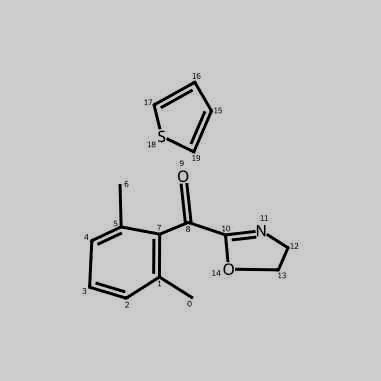 Cc1cccc(C)c1C(=O)C1=NCCO1.c1ccsc1